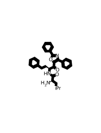 CC(C)C[C@H](N)C(=O)N[C@@H](CCc1ccccc1)C(=O)c1oc(-c2ccccc2)nc1-c1ccccc1